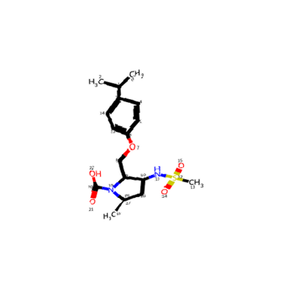 CC(C)c1ccc(OCC2C(NS(C)(=O)=O)C[C@@H](C)N2C(=O)O)cc1